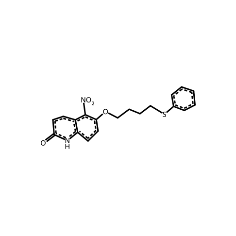 O=c1ccc2c([N+](=O)[O-])c(OCCCCSc3ccccc3)ccc2[nH]1